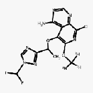 [2H]C([2H])([2H])Oc1nc(Cl)c2ncnc(N)c2c1OC(C)c1ncn(C(F)F)n1